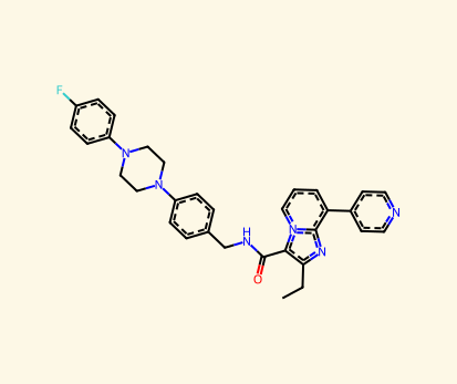 CCc1nc2c(-c3ccncc3)cccn2c1C(=O)NCc1ccc(N2CCN(c3ccc(F)cc3)CC2)cc1